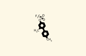 Cc1ccc(-c2ccc(OS(=O)(=O)C(F)(F)F)cc2C)cc1